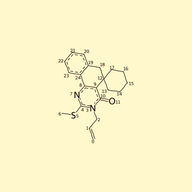 C=CCn1c(SC)nc2c(c1=O)C1(CCCCC1)Cc1ccccc1-2